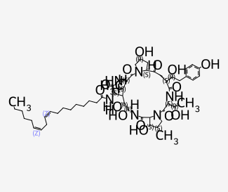 CCCCC/C=C\C/C=C\CCCCCCCC(=O)N[C@@H]1C(=O)N[C@@H]2C(=O)N3C[C@H](O)C[C@H]3C(=O)C[C@@H]([C@H](O)Cc3ccc(O)cc3)C(=O)N[C@@H]([C@@H](C)O)C(=O)N3C[C@H](C)[C@H](O)C3C(=O)N[C@H](O)[C@H](O)C1[C@@H]2C